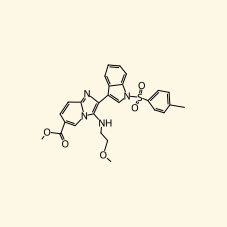 COCCNc1c(-c2cn(S(=O)(=O)c3ccc(C)cc3)c3ccccc23)nc2ccc(C(=O)OC)cn12